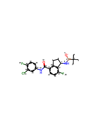 CC(C)(C)[S@+]([O-])NC1CCc2c(C(=O)Nc3ccc(F)c(Cl)c3)ccc(F)c21